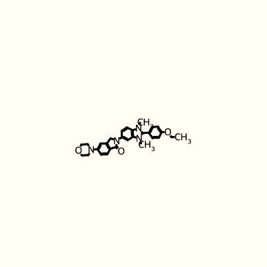 CCOc1ccc(C2N(C)c3ccc(N4Cc5cc(N6CCOCC6)ccc5C4=O)cc3N2C)cc1